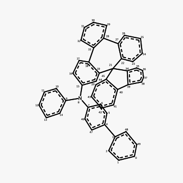 c1ccc(-c2ccc(N(c3ccccc3)c3ccc4c(c3)C3(c5ccccc5-c5ccccc5-4)c4ccccc4-c4ccccc43)cc2)cc1